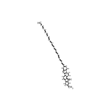 C#CC#CC#CC#CC#CC#CC#CC#CC#CC#CC#CC#Cc1ccc2c(c1)sc1c2ccc2c1ccc1c3ccc(C)cc3[nH]c12